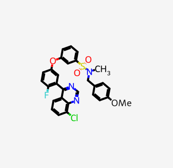 COc1ccc(CN(C)S(=O)(=O)c2cccc(Oc3ccc(F)c(-c4ncnc5c(Cl)cccc45)c3)c2)cc1